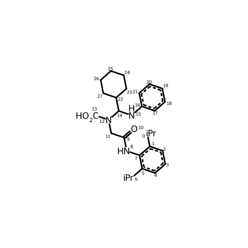 CC(C)c1cccc(C(C)C)c1NC(=O)CN(C(=O)O)C(Nc1ccccc1)C1CCCCC1